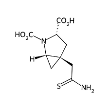 NC(=S)C[C@@]12C[C@@H]1N(C(=O)O)[C@H](C(=O)O)C2